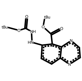 CC(C)(C)OC(=O)NNc1ccc2nccnc2c1C(=O)OC(C)(C)C